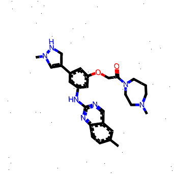 Cc1ccc2nc(Nc3cc(OCC(=O)N4CCCN(C)CC4)cc(C4=CN(C)NC4)c3)ncc2c1